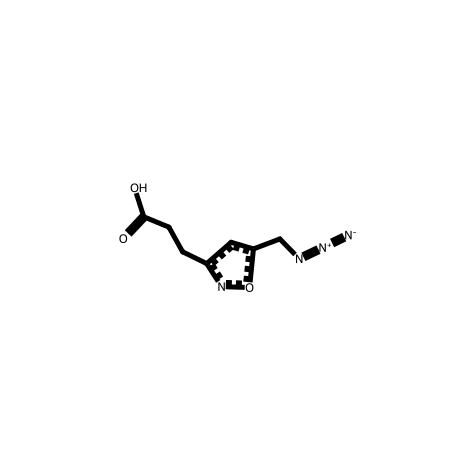 [N-]=[N+]=NCc1cc(CCC(=O)O)no1